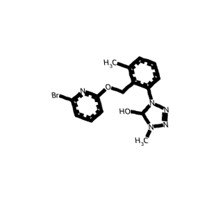 Cc1cccc(N2N=NN(C)C2O)c1COc1cccc(Br)n1